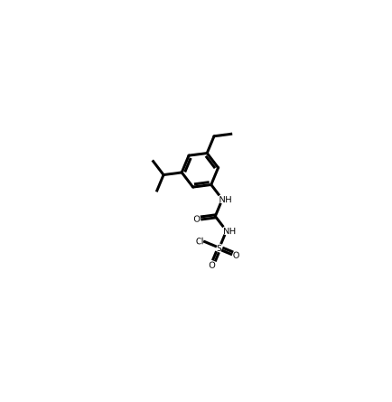 CCc1cc(NC(=O)NS(=O)(=O)Cl)cc(C(C)C)c1